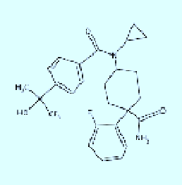 CC(O)(c1ccc(C(=O)N(C2CC2)C2CCC(C(N)=O)(c3ccccc3F)CC2)cc1)C(F)(F)F